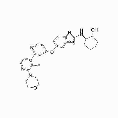 O[C@@H]1CCCC[C@H]1Nc1nc2ccc(Oc3ccnc(-c4ccnc(N5CCOCC5)c4F)c3)cc2s1